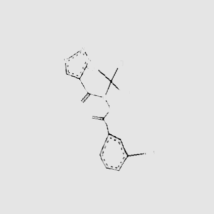 Cc1cccc(C(=O)NN(C(=O)c2c[nH]nn2)C(C)(C)C)c1